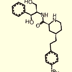 CC(C)(C)c1ccc(CC[C@@H]2CCN[C@H](C(=O)N[C@H](CO)[C@@H](O)c3ccccc3)C2)cc1